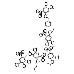 CC(C)Oc1ccc([N+](=O)[O-])cc1Cl.CCCCOc1cc(OC)c(Cl)cc1[N+](=O)[O-].CCOc1cc(OC)c(Cl)cc1[N+](=O)[O-].COc1c(Cl)cc([N+](=O)[O-])c(C)c1Cl.COc1cc(OCc2ccccc2)c([N+](=O)[O-])cc1Cl